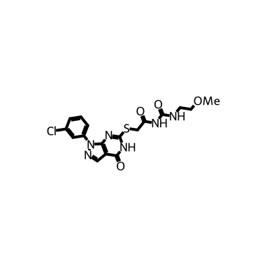 COCCNC(=O)NC(=O)CSc1nc2c(cnn2-c2cccc(Cl)c2)c(=O)[nH]1